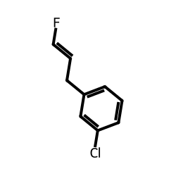 FC=CCc1cccc(Cl)c1